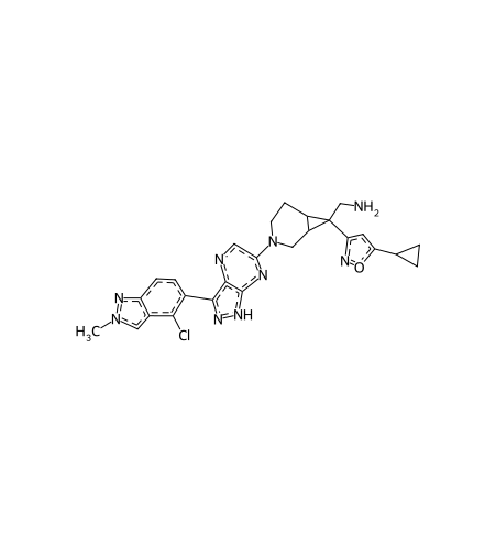 Cn1cc2c(Cl)c(-c3n[nH]c4nc(N5CCC6C(C5)C6(CN)c5cc(C6CC6)on5)cnc34)ccc2n1